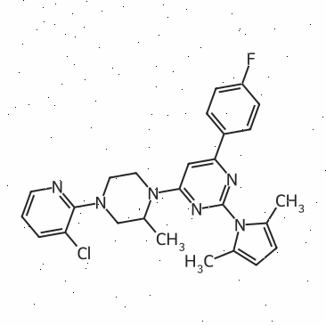 Cc1ccc(C)n1-c1nc(-c2ccc(F)cc2)cc(N2CCN(c3ncccc3Cl)CC2C)n1